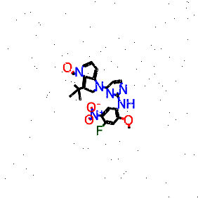 COc1cc(F)c([N+](=O)[O-])cc1Nc1nccc(N2CC(C(C)(C)C)=C3C2=CC=CN3C=O)n1